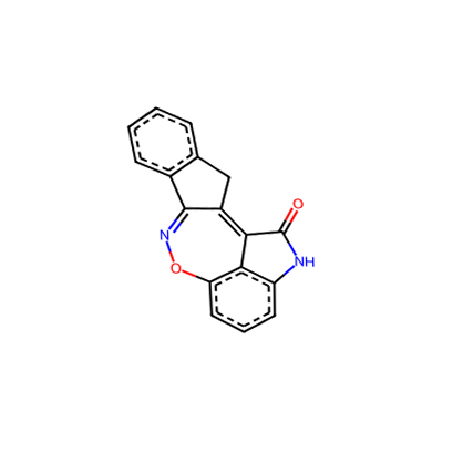 O=C1Nc2cccc3c2C1=C1Cc2ccccc2C1=NO3